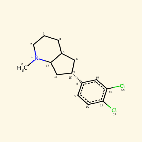 CN1CCCC2C[C@H](c3ccc(Cl)c(Cl)c3)CC21